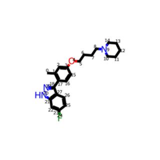 Cc1cc(OCCCCN2CCCCC2)ccc1-c1n[nH]c2cc(F)ccc12